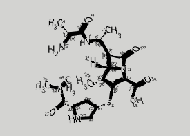 C[C@@H](N)C(=O)N[C@H](C)[C@H]1C(=O)N2C(C(=O)O)=C(S[C@@H]3CN[C@H](C(=O)N(C)C)C3)[C@H](C)[C@H]12